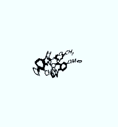 COc1ccc(-n2nccn2)c(C(=O)N2C[C@@H](C)OC[C@H]2c2nc3c(C)c(Cl)ccc3[nH]2)c1